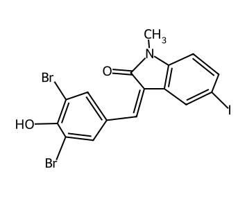 CN1C(=O)C(=Cc2cc(Br)c(O)c(Br)c2)c2cc(I)ccc21